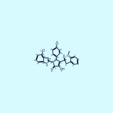 COc1ccccc1CC(=O)C1=C(O)C(=O)N(c2nc3c(Cl)cccc3s2)C1c1ccc(Cl)cc1